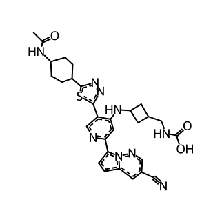 CC(=O)NC1CCC(c2nnc(-c3cnc(-c4ccc5cc(C#N)cnn45)cc3NC3CC(CNC(=O)O)C3)s2)CC1